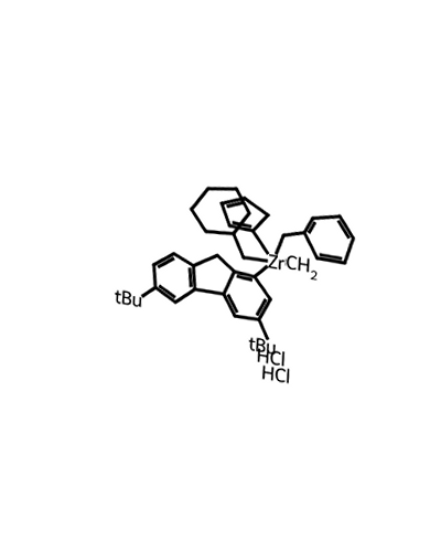 Cl.Cl.[CH2]=[Zr]([CH2]c1ccccc1)([CH2]C1CCCCC1)([C]1=CC=CC1)[c]1cc(C(C)(C)C)cc2c1Cc1ccc(C(C)(C)C)cc1-2